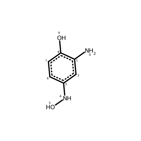 Nc1cc(NO)ccc1O